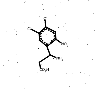 NC(CC(=O)O)c1cc(Cl)c(Cl)cc1[N+](=O)[O-]